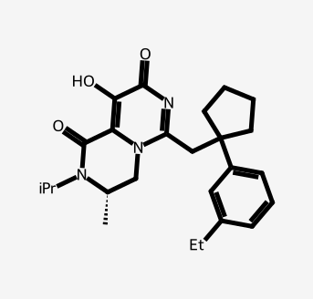 CCc1cccc(C2(Cc3nc(=O)c(O)c4n3C[C@H](C)N(C(C)C)C4=O)CCCC2)c1